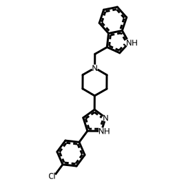 Clc1ccc(-c2cc(C3CCN(Cc4c[nH]c5ccccc45)CC3)n[nH]2)cc1